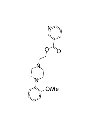 COc1ccccc1N1CCN(CCOC(=O)c2cccnc2)CC1